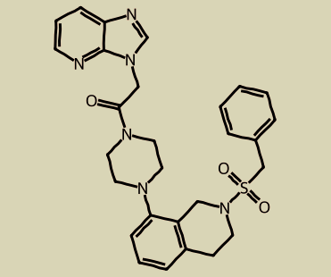 O=C(Cn1cnc2cccnc21)N1CCN(c2cccc3c2CN(S(=O)(=O)Cc2ccccc2)CC3)CC1